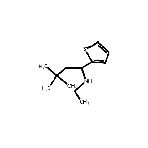 CCNC(CC(C)(C)C)c1cccs1